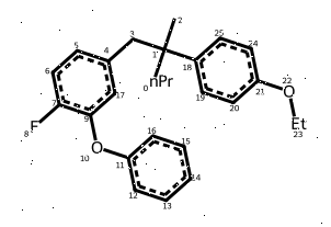 CCCC(C)(Cc1ccc(F)c(Oc2ccccc2)c1)c1ccc(OCC)cc1